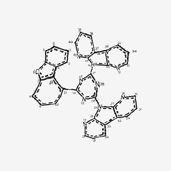 c1ccc2c(c1)oc1cccc(-c3nc(-n4c5ncccc5c5cccnc54)nc(-n4c5ncccc5c5cccnc54)n3)c12